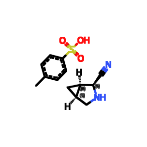 Cc1ccc(S(=O)(=O)O)cc1.N#C[C@H]1NC[C@H]2C[C@H]21